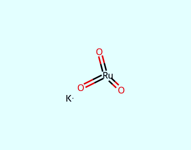 [K].[O]=[Ru](=[O])=[O]